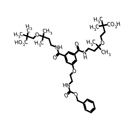 CC(C)(CCNC(=O)c1cc(OCCNC(=O)OCc2ccccc2)cc(C(=O)NCCC(C)(C)OCC(C)(C)C(=O)O)c1)OCCC(C)(C)C(=O)O